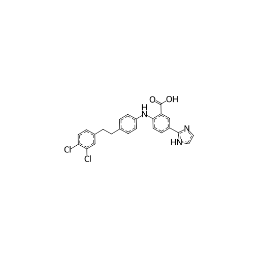 O=C(O)c1cc(-c2ncc[nH]2)ccc1Nc1ccc(CCc2ccc(Cl)c(Cl)c2)cc1